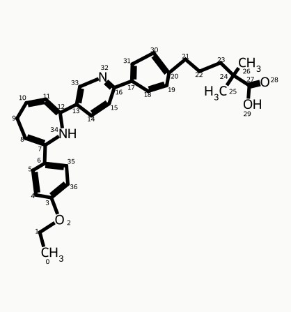 CCOc1ccc(C2=CCC=C=C(c3ccc(-c4ccc(CCCC(C)(C)C(=O)O)cc4)nc3)N2)cc1